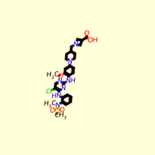 COc1cc(N2CCC(CN3CC(C(=O)O)C3)CC2)ccc1Nc1ncc(Cl)c(Nc2ccccc2N(C)S(C)(=O)=O)n1